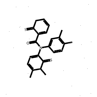 CC1=CC=C(N(C(=O)C2=CC=CCC2=S)c2ccc(C)c(C)c2)C(=S)C1C